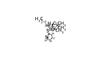 CCCC/C=C(/O[Si](C)(C)C(C)(C)C)Sc1ccccn1